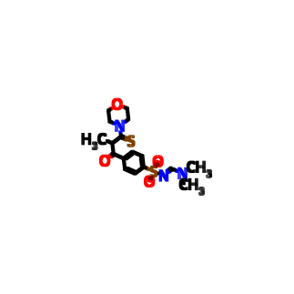 CC(C(=O)c1ccc(S(=O)(=O)N=CN(C)C)cc1)C(=S)N1CCOCC1